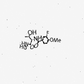 COc1ccc(C(=O)N[C@H](C(=O)NO)[C@@H](C)O)cc1F